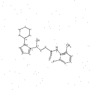 Cc1cccc(F)c1NC(=O)CCC(O)c1cccn1C1CCCCC1